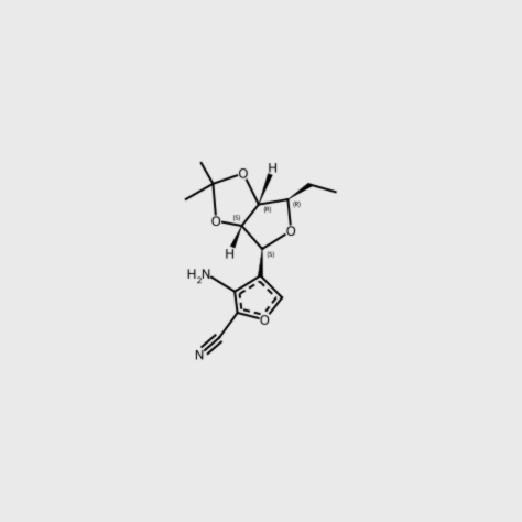 CC[C@H]1O[C@@H](c2coc(C#N)c2N)[C@@H]2OC(C)(C)O[C@@H]21